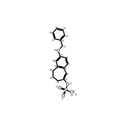 O=S(=O)(OC1=Cc2ccc(OCc3ccccc3)cc2CCC1)C(F)(F)F